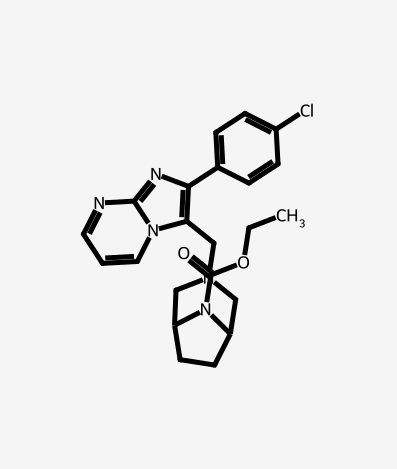 CCOC(=O)N1C2CCC1CN(Cc1c(-c3ccc(Cl)cc3)nc3ncccn13)C2